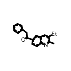 CCc1cc2cc(C(=O)Cc3ccccc3)ccc2nc1C